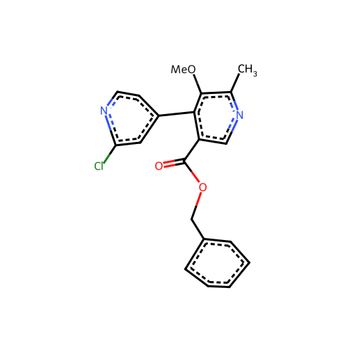 COc1c(C)ncc(C(=O)OCc2ccccc2)c1-c1ccnc(Cl)c1